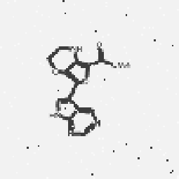 COC(=O)c1sc(-c2c[nH]c3ncncc23)c2c1NCCO2